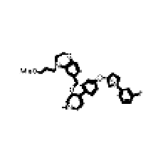 COCCCN1CCOc2ccc(COC3CNCCC3c3ccc(O[C@H]4CCN(c5cccc(F)c5)C4)cc3)cc21